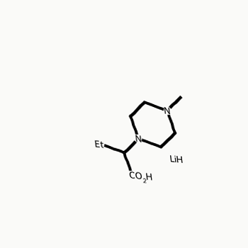 CCC(C(=O)O)N1CCN(C)CC1.[LiH]